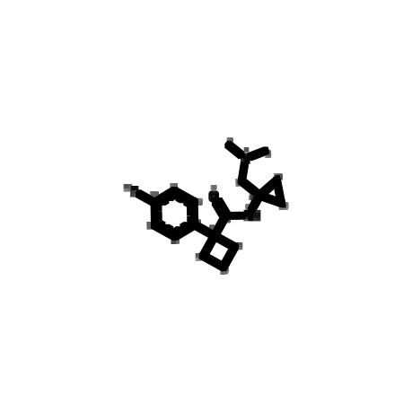 CN(C)CC1(NC(=O)C2(c3ccc(F)cc3)CCC2)CC1